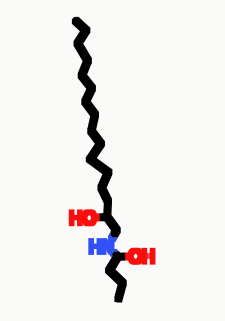 CCCCCCCCCCCCCCC(O)CNC(O)CCC